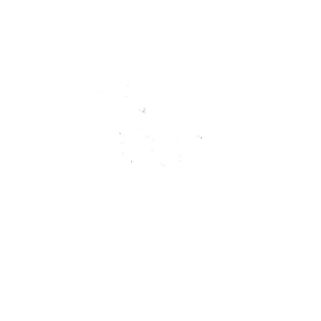 O=[N+]([O-])c1cc2c(Nc3ccc(F)c(Cl)c3)ncnc2cc1OCCOC1CCCCO1